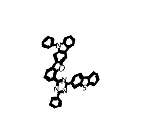 c1ccc(-c2nc(-c3ccc4c(c3)sc3ccccc34)nc(-c3cccc4c3oc3cc5c6ccccc6n(-c6ccccc6)c5cc34)n2)cc1